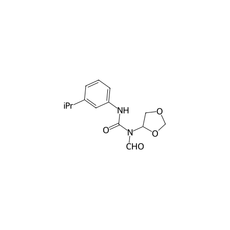 CC(C)c1cccc(NC(=O)N(C=O)C2COCO2)c1